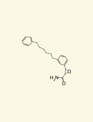 NC(=O)C1OC1c1cccc(CCCCCCc2ccccc2)c1